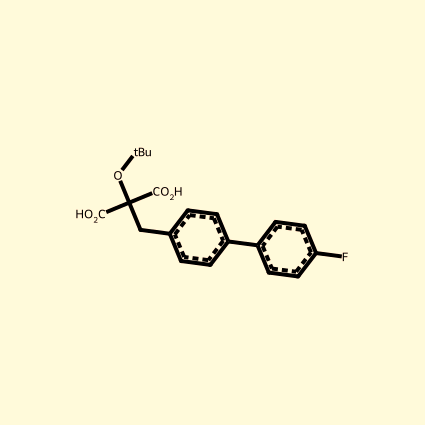 CC(C)(C)OC(Cc1ccc(-c2ccc(F)cc2)cc1)(C(=O)O)C(=O)O